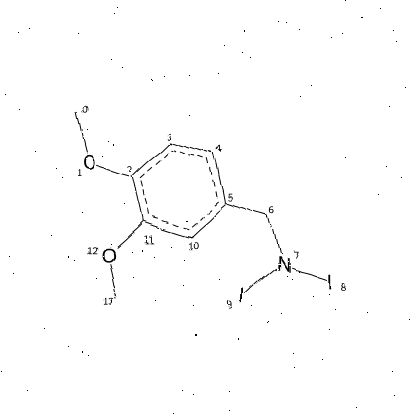 COc1ccc(CN(I)I)cc1OC